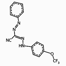 N#CC(N=Nc1ccccc1)=NNc1ccc(OC(F)(F)F)cc1